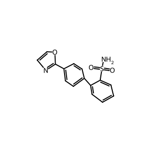 NS(=O)(=O)c1ccccc1-c1ccc(-c2ncco2)cc1